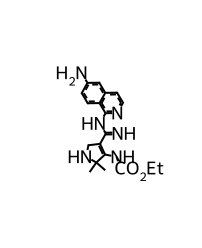 CCOC(=O)NC1=C(C(=N)Nc2nccc3cc(N)ccc23)CNC1(C)C